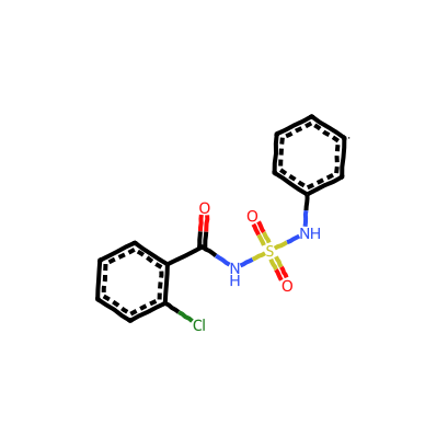 O=C(NS(=O)(=O)Nc1c[c]ccc1)c1ccccc1Cl